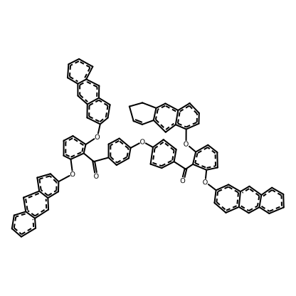 O=C(c1ccc(Oc2ccc(C(=O)c3c(Oc4ccc5cc6ccccc6cc5c4)cccc3Oc3cccc4cc5c(cc34)C=CCC5)cc2)cc1)c1c(Oc2ccc3cc4ccccc4cc3c2)cccc1Oc1ccc2cc3ccccc3cc2c1